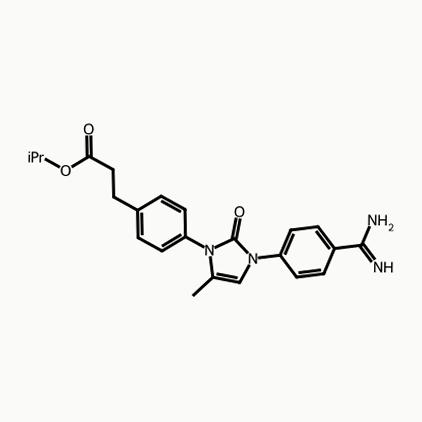 Cc1cn(-c2ccc(C(=N)N)cc2)c(=O)n1-c1ccc(CCC(=O)OC(C)C)cc1